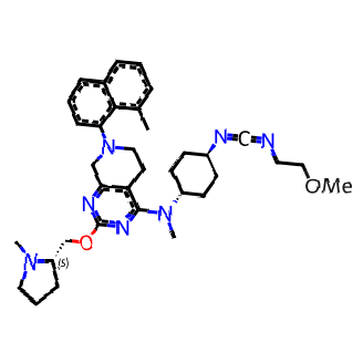 COCCN=C=N[C@H]1CC[C@H](N(C)c2nc(OC[C@@H]3CCCN3C)nc3c2CCN(c2cccc4cccc(C)c24)C3)CC1